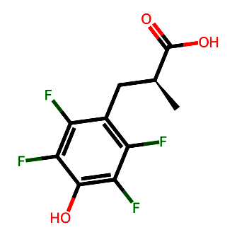 C[C@@H](Cc1c(F)c(F)c(O)c(F)c1F)C(=O)O